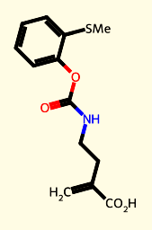 C=C(CCNC(=O)Oc1ccccc1SC)C(=O)O